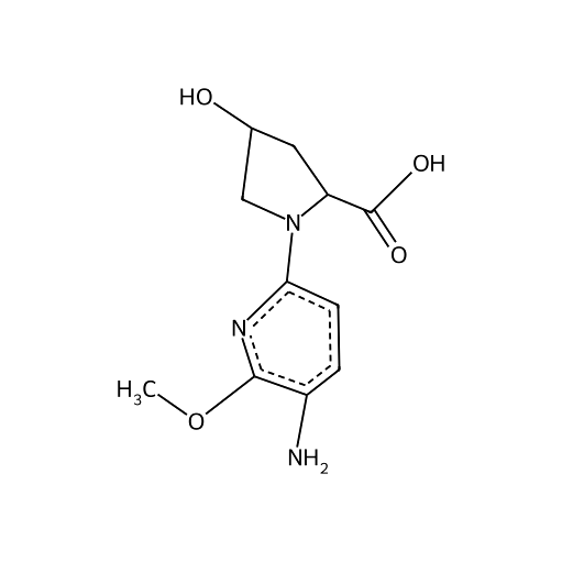 COc1nc(N2CC(O)CC2C(=O)O)ccc1N